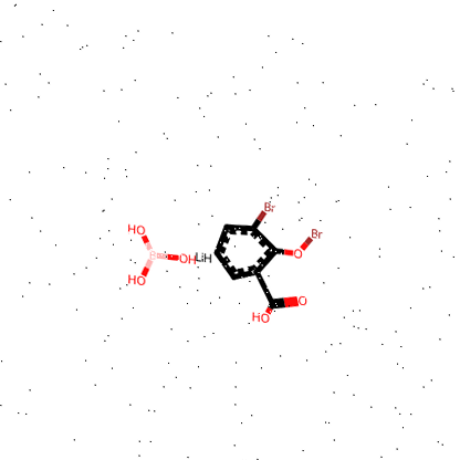 O=C(O)c1cccc(Br)c1OBr.OB(O)O.[LiH]